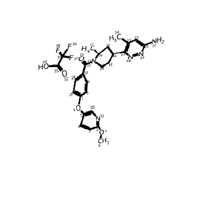 COc1ccc(Oc2ccc(C(=O)N3CC[C@H](c4nnc(N)cc4C)C[C@@H]3C)cc2)cn1.O=C(O)C(F)(F)F